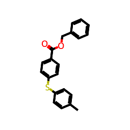 Cc1ccc(Sc2ccc(C(=O)OCc3ccccc3)cc2)cc1